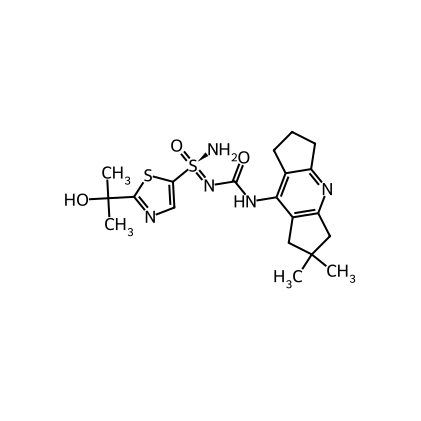 CC1(C)Cc2nc3c(c(NC(=O)N=[S@@](N)(=O)c4cnc(C(C)(C)O)s4)c2C1)CCC3